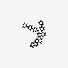 c1ccc(-c2ccc(-c3ccc(N(c4cccc(-c5ccccc5)c4)c4ccc(-c5cccc6c5ccc5c7ccccc7ccc65)c5ccccc45)cc3)cc2)cc1